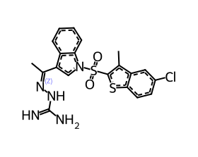 C/C(=N/NC(=N)N)c1cn(S(=O)(=O)c2sc3ccc(Cl)cc3c2C)c2ccccc12